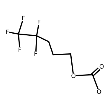 [O]C(=O)OCCCC(F)(F)C(F)(F)F